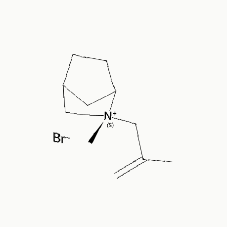 C=C(C)C[N@+]1(C)CC2CCC1C2.[Br-]